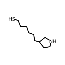 SCCCCCCC1CCNC1